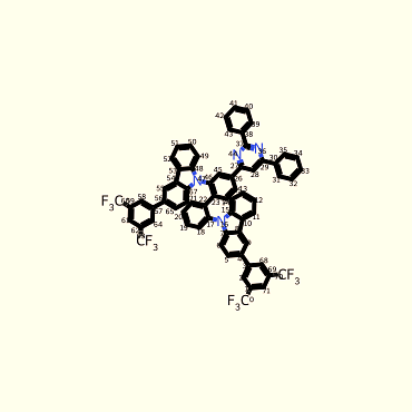 FC(F)(F)c1cc(-c2ccc3c(c2)c2ccccc2n3-c2ccccc2-c2ccc(-c3cc(-c4ccccc4)nc(-c4ccccc4)n3)cc2-n2c3ccccc3c3cc(-c4cc(C(F)(F)F)cc(C(F)(F)F)c4)ccc32)cc(C(F)(F)F)c1